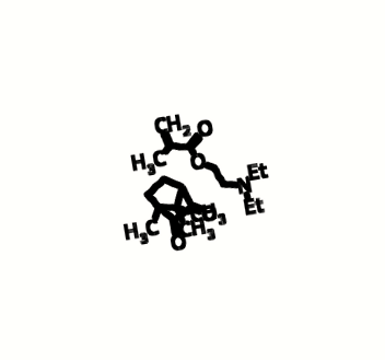 C=C(C)C(=O)OCCN(CC)CC.CC12CCC(C(=O)C1=O)C2(C)C